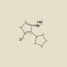 Br.Br.[Zr][C]1=C(C2CCCC2)C=CC1